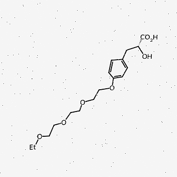 CCOCCOCCOCCOc1ccc(C[C@@H](O)C(=O)O)cc1